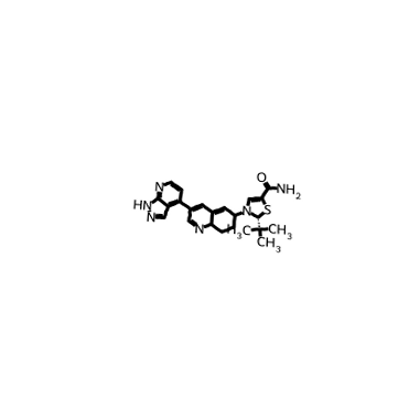 CC(C)(C)[C@H]1SC(C(N)=O)=CN1C1C=C2C=C(c3ccnc4[nH]ncc34)C=NC2CC1